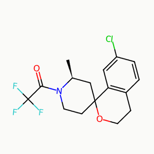 C[C@H]1CC2(CCN1C(=O)C(F)(F)F)OCCc1ccc(Cl)cc12